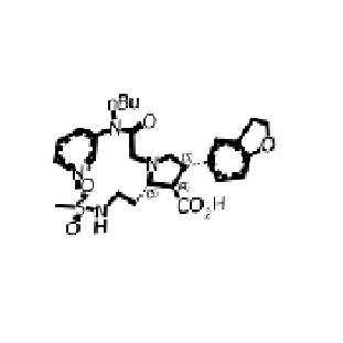 CCCCN(C(=O)CN1C[C@H](c2ccc3c(c2)CCO3)[C@@H](C(=O)O)[C@@H]1CCNS(C)(=O)=O)c1ccc[n+](C)c1